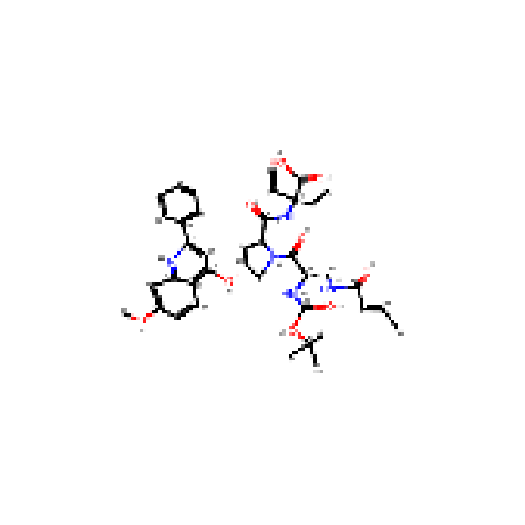 C=C[C@@](CC)(NC(=O)[C@@H]1C[C@@H](Oc2cc(-c3ccccc3)nc3cc(OC)ccc23)CN1C(=O)[C@H](CNC(=O)/C=C/C)NC(=O)OC(C)(C)C)C(=O)O